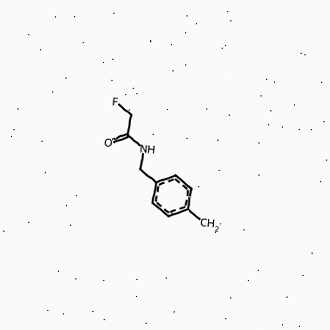 [CH2]c1ccc(CNC(=O)CF)cc1